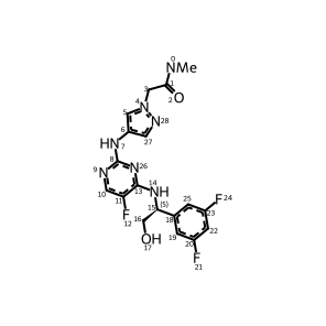 CNC(=O)Cn1cc(Nc2ncc(F)c(N[C@H](CO)c3cc(F)cc(F)c3)n2)cn1